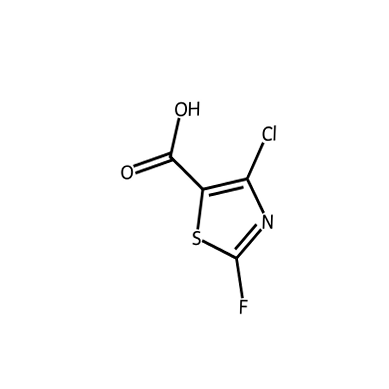 O=C(O)c1sc(F)nc1Cl